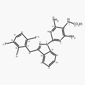 CCOC(=O)Nc1c(N)nc(-n2nc(Cc3c(F)ccc(F)c3F)c3ccccc32)nc1N